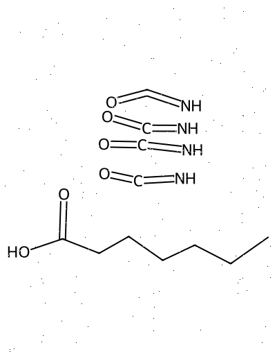 CCCCCCC(=O)O.N=C=O.N=C=O.N=C=O.N=C=O